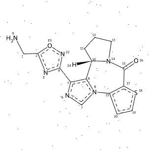 NCc1nc(-c2ncn3c2[C@@H]2CCCN2C(=O)c2sccc2-3)no1